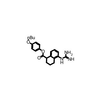 CCCCOc1ccc(OC(=O)C2CCCc3c(NC(=N)N)cccc32)cc1